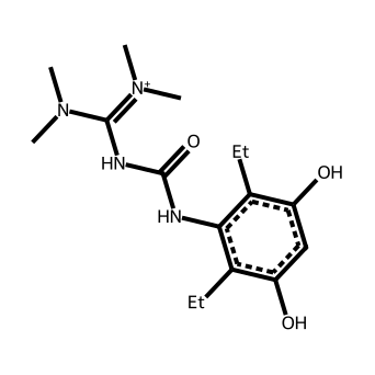 CCc1c(O)cc(O)c(CC)c1NC(=O)NC(N(C)C)=[N+](C)C